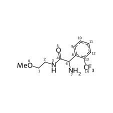 COCCNC(=O)C(N)c1ccccc1C(F)(F)F